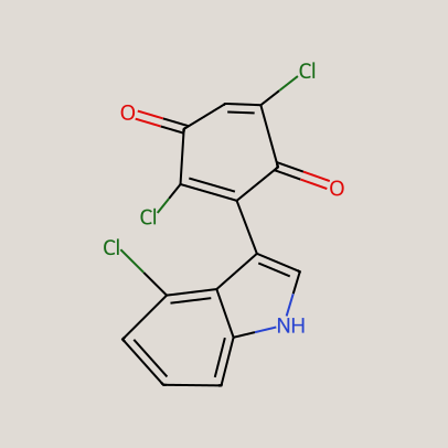 O=C1C=C(Cl)C(=O)C(c2c[nH]c3cccc(Cl)c23)=C1Cl